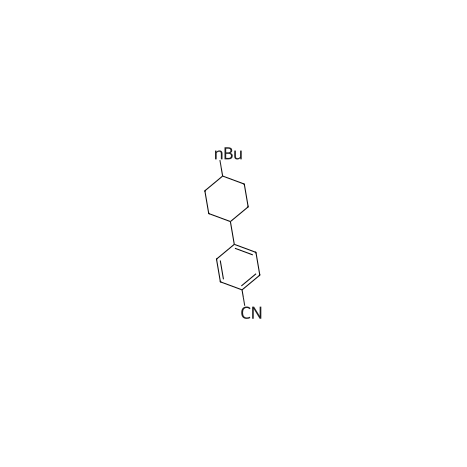 [CH2]CCCC1CCC(c2ccc(C#N)cc2)CC1